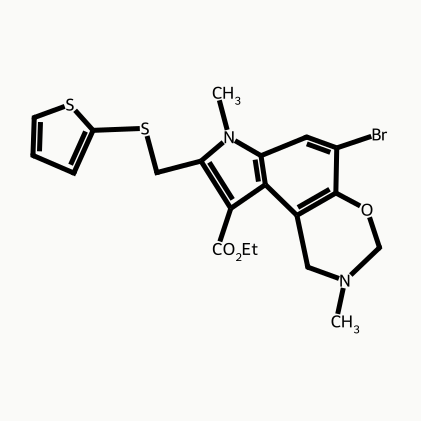 CCOC(=O)c1c(CSc2cccs2)n(C)c2cc(Br)c3c(c12)CN(C)CO3